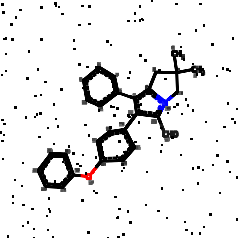 CC1(C)Cc2c(-c3ccccc3)c(-c3ccc(Oc4ccccc4)cc3)c(C=O)n2C1